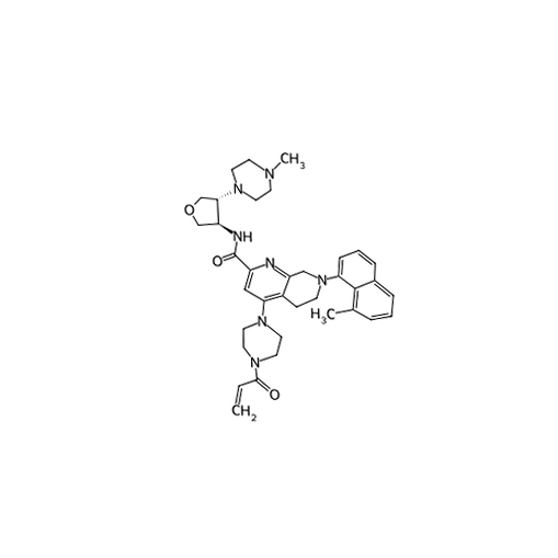 C=CC(=O)N1CCN(c2cc(C(=O)N[C@H]3COC[C@@H]3N3CCN(C)CC3)nc3c2CCN(c2cccc4cccc(C)c24)C3)CC1